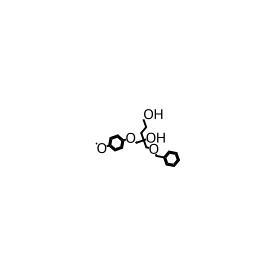 COc1ccc(OCC(O)(CCCO)COCc2ccccc2)cc1